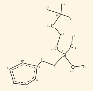 CO[Si](CCc1ccccc1)(OC)OCOC(C)(C)C